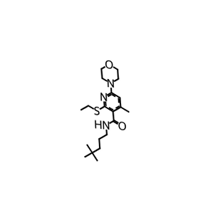 CCSc1nc(N2CCOCC2)cc(C)c1C(=O)NCCCC(C)(C)C